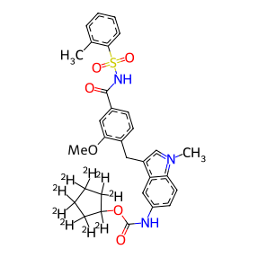 [2H]C1([2H])C([2H])([2H])C([2H])([2H])C([2H])(OC(=O)Nc2ccc3c(c2)c(Cc2ccc(C(=O)NS(=O)(=O)c4ccccc4C)cc2OC)cn3C)C1([2H])[2H]